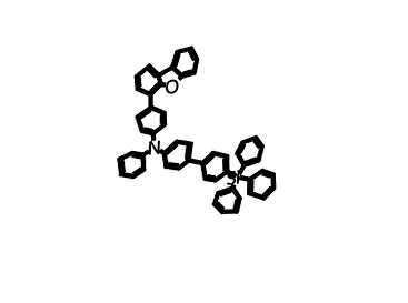 c1ccc(N(c2ccc(-c3ccc([Si](c4ccccc4)(c4ccccc4)c4ccccc4)cc3)cc2)c2ccc(-c3cccc4c3oc3ccccc34)cc2)cc1